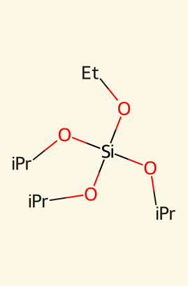 CCO[Si](OC(C)C)(OC(C)C)OC(C)C